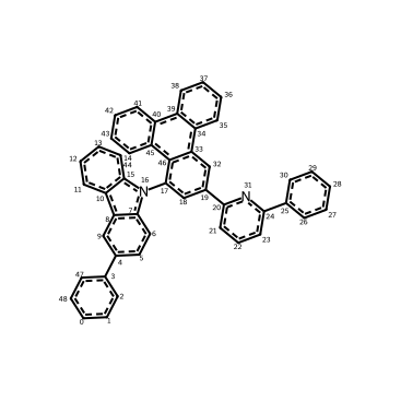 c1ccc(-c2ccc3c(c2)c2ccccc2n3-c2cc(-c3cccc(-c4ccccc4)n3)cc3c4ccccc4c4ccccc4c23)cc1